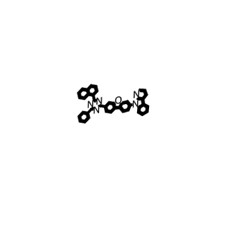 c1ccc(-c2nc(-c3ccc4c(c3)oc3cc(-n5c6ccccc6c6cccnc65)ccc34)nc(-c3cccc4ccccc34)n2)cc1